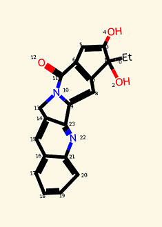 CCC1(O)C(O)=Cc2c1cc1n(c2=O)Cc2cc3ccccc3nc2-1